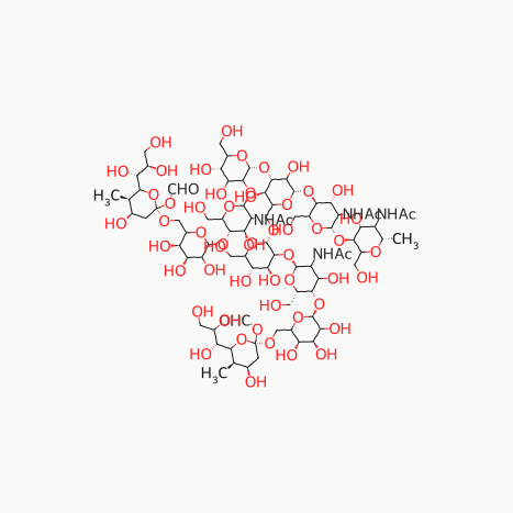 CC(=O)NC1C(O)[C@H](O[C@@H]2OC(CO[C@]3(OC=O)C[C@@H](O)[C@@H](C)C([C@H](O)C(O)CO)O3)[C@H](O)[C@H](O)C2O)[C@H](CO)O[C@H]1OC1[C@@H](OCC2O[C@@H](O[C@@H]3C(CO)O[C@@H](O[C@@H]4C(CO)O[C@@H](C)C(NC(C)=O)[C@H]4O)C(NC(C)=O)[C@H]3O)C(O)[C@@H](O[C@H]3OC(CO)[C@@H](O)C(O)C3O[C@@H]3OC(CO)[C@@H](O[C@@H]4OC(CO[C@]5(OC=O)C[C@@H](O)[C@@H](C)C([C@H](O)[C@H](O)CO)O5)[C@H](O)[C@H](O)C4O)[C@H](O)C3NC(C)=O)[C@@H]2O)OC(CO)[C@@H](O)[C@@H]1O